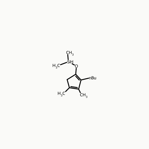 CCCCC1=C(O[SiH](C)C)CC(C)=C1C